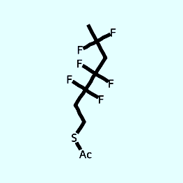 CC(=O)SCCC(F)(F)C(F)(F)CC(C)(F)F